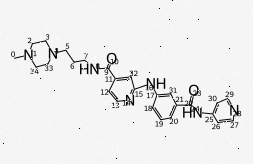 CN1CCN(CCCNC(=O)c2ccnc(Nc3cccc(C(=O)Nc4ccncc4)c3)c2)CC1